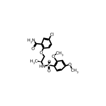 COc1ccc(S(=O)(=O)N[C@@H](C)COc2ccc(Cl)cc2C(N)=O)c(OC)c1